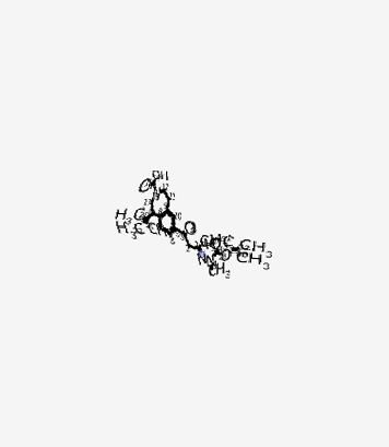 C/C(CC(=O)c1ccc2c(c1)CCN(C(=O)O)CC2C(C)(C)C)=N\N(C)C(=O)OC(C)(C)C